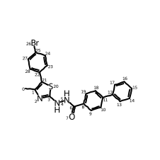 Cc1nc(NNC(=O)c2ccc(-c3ccccc3)cc2)sc1-c1ccc(Br)cc1